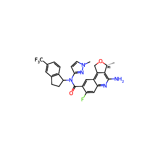 C[C@H]1OCc2c1c(N)nc1cc(F)c(C(=O)N(c3ccn(C)n3)C3CCc4cc(C(F)(F)F)ccc43)cc21